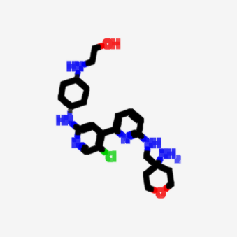 NC1(CNc2cccc(-c3cc(N[C@H]4CC[C@H](NCCO)CC4)ncc3Cl)n2)CCOCC1